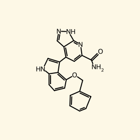 NC(=O)c1cc(-c2c[nH]c3cccc(OCc4ccccc4)c23)c2cn[nH]c2n1